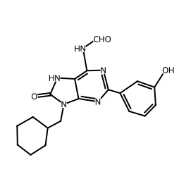 O=CNc1nc(-c2cccc(O)c2)nc2c1[nH]c(=O)n2CC1CCCCC1